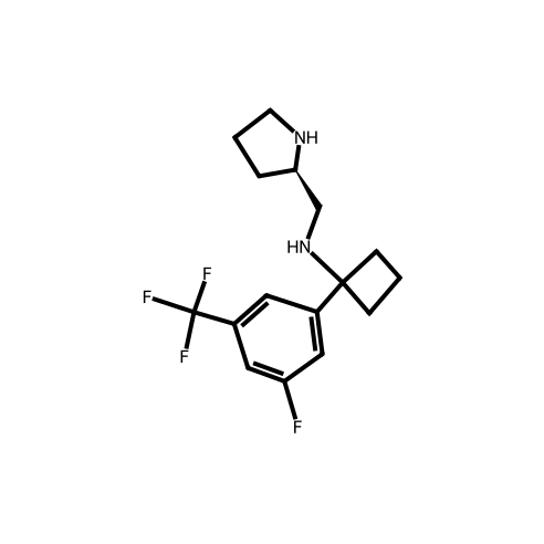 Fc1cc(C(F)(F)F)cc(C2(NC[C@H]3CCCN3)CCC2)c1